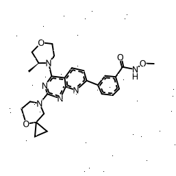 CONC(=O)c1cccc(-c2ccc3c(N4CCOC[C@@H]4C)nc(N4CCOC5(CC5)C4)nc3n2)c1